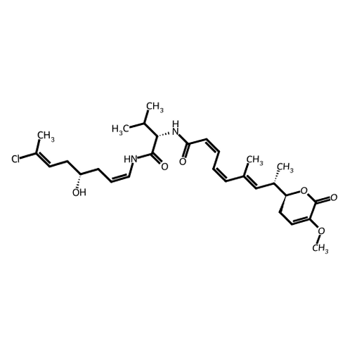 COC1=CC[C@@H]([C@@H](C)/C=C(C)/C=C\C=C/C(=O)N[C@H](C(=O)N/C=C\C[C@H](O)C/C=C(\C)Cl)C(C)C)OC1=O